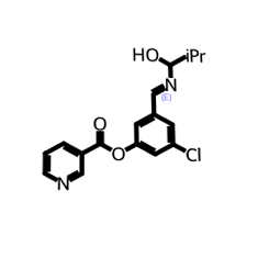 CC(C)C(O)/N=C/c1cc(Cl)cc(OC(=O)c2cccnc2)c1